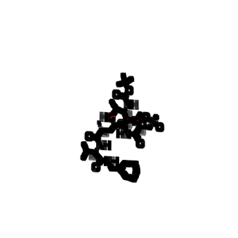 CC(C)C[C@H](NC(=O)[C@H](CS(C)(=O)=O)NC(=O)[C@@H](NC(=O)OC(C)(C)C)C(C)C)[C@@H](O)C[C@@H](C)C(=O)N[C@H](C(=O)NCc1ccccc1)C(C)C